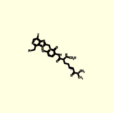 CC(C)Cc1ncc(F)c2nc(Cn3c(Cl)ccc(NC(=O)C(CC/C=C/C(=O)N(C)C)NC(=O)O)c3=O)[nH]c12